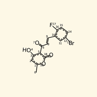 Cc1cc(O)c(C(=O)C=Cc2cc(Br)ccc2F)c(=O)o1